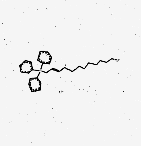 BrCCCCCCCCCC=CC[P+](c1ccccc1)(c1ccccc1)c1ccccc1.[Cl-]